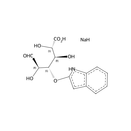 O=C[C@H](O)[C@@H](Oc1cc2ccccc2[nH]1)[C@H](O)[C@H](O)C(=O)O.[NaH]